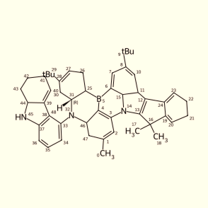 CC1=CC2=C3B(C4=CC(C(C)(C)C)=CC5C6=C(N2C45)C(C)(C)C2=CCCC=C26)C2CC=C(C(C)(C)C)C[C@H]2N(c2cccc4c2C2=CCCCC2N4)C3C1